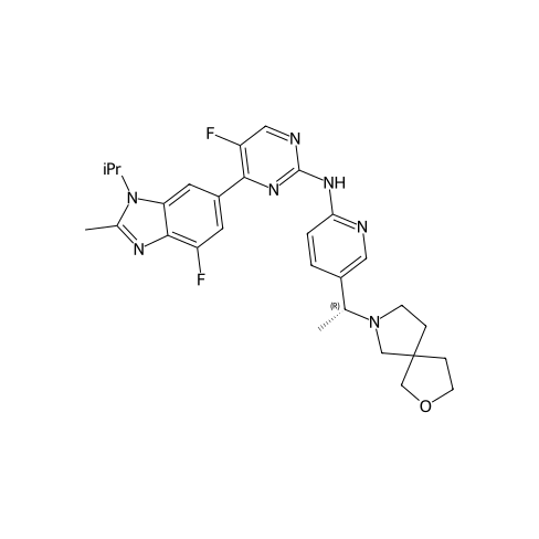 Cc1nc2c(F)cc(-c3nc(Nc4ccc([C@@H](C)N5CCC6(CCOC6)C5)cn4)ncc3F)cc2n1C(C)C